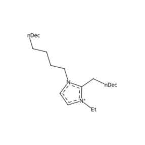 CCCCCCCCCCCCCCn1cc[n+](CC)c1CCCCCCCCCCC